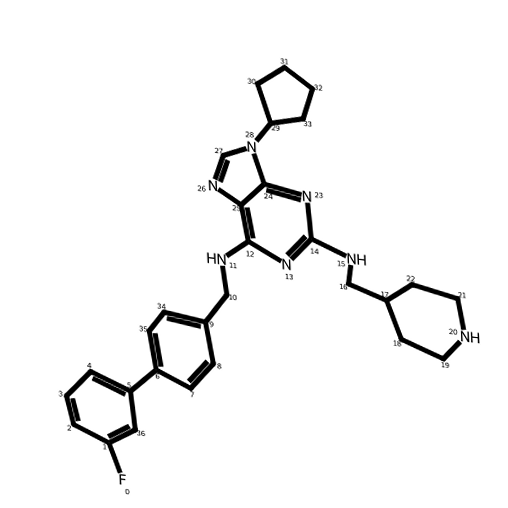 Fc1cccc(-c2ccc(CNc3nc(NCC4CCNCC4)nc4c3ncn4C3CCCC3)cc2)c1